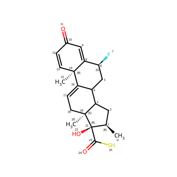 C[C@@H]1CC2C3C[C@H](F)C4=CC(=O)C=C[C@]4(C)C3=CC[C@]2(C)[C@@]1(O)C(=O)S